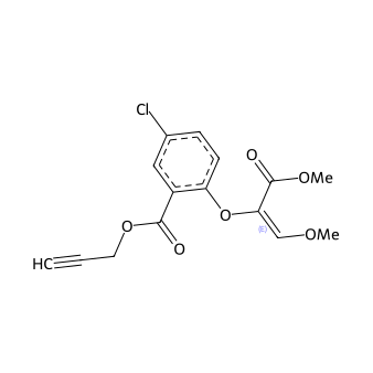 C#CCOC(=O)c1cc(Cl)ccc1O/C(=C/OC)C(=O)OC